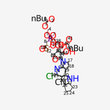 CCCCC(=O)OCOP(=O)(CS(=O)(=O)C[C@H]1O[C@@H](n2ccc3c(NC4CCCC4)c(C#N)c(Cl)nc32)[C@H](O)[C@@H]1O)OCOC(=O)CCCC